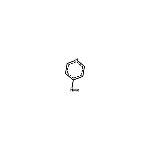 CNc1c[c]ncc1